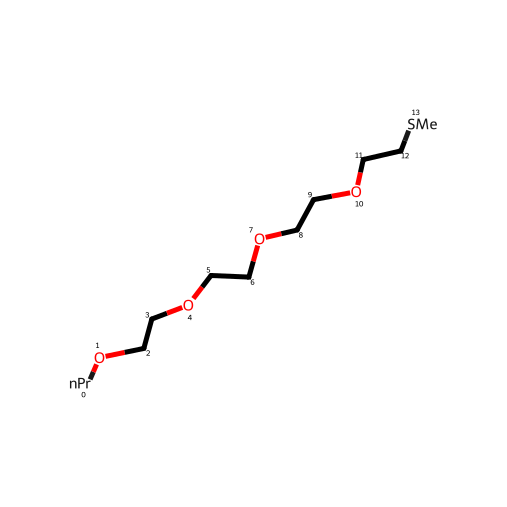 CCCOCCOCCOCCOCCSC